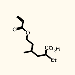 C=CC(=O)OCCC(C)CC(CC)C(=O)O